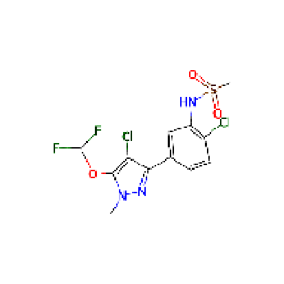 Cn1nc(-c2ccc(Cl)c(NS(C)(=O)=O)c2)c(Cl)c1OC(F)F